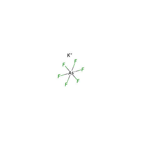 F[As-](F)(F)(F)(F)F.[K+]